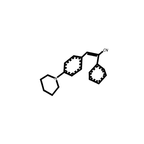 N#CC(=Cc1ccc(N2CCCCC2)cc1)c1ccccc1